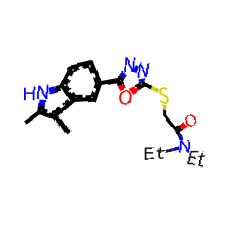 CCN(CC)C(=O)CSc1nnc(-c2ccc3[nH]c(C)c(C)c3c2)o1